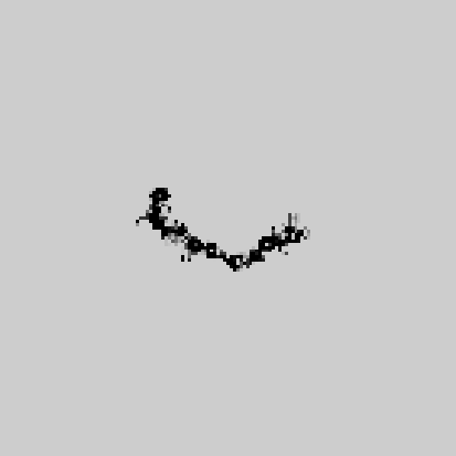 O=C1CC[C@H](N2C(=O)c3ccc(N4CC(CN5CCC(CCN6CCN(c7ccc(Nc8ncnc9c8ncn9C8CC(NC(=O)Cc9ccccc9)C8)cc7)CC6)CC5)C4)cc3C2=O)C(=O)N1